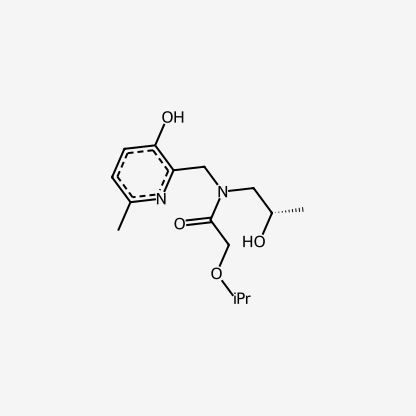 Cc1ccc(O)c(CN(C[C@H](C)O)C(=O)COC(C)C)n1